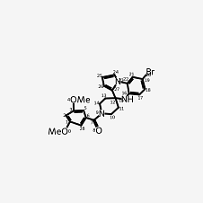 COc1cc(OC)cc(C(=O)N2CCC3(CC2)Nc2ccc(Br)cc2-n2cccc23)c1